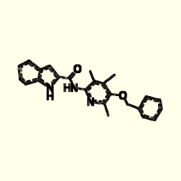 Cc1nc(NC(=O)c2cc3ccccc3[nH]2)c(C)c(C)c1OCc1ccccc1